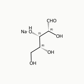 O=C[C@H](O)[C@@H](O)[C@H](O)CO.[Na]